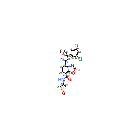 Cc1nc2c(C3=NOC(c4cc(Cl)cc(Cl)c4)(C(F)(F)F)C3)ccc(C(=O)NC3C[S+]([O-])C3)c2o1